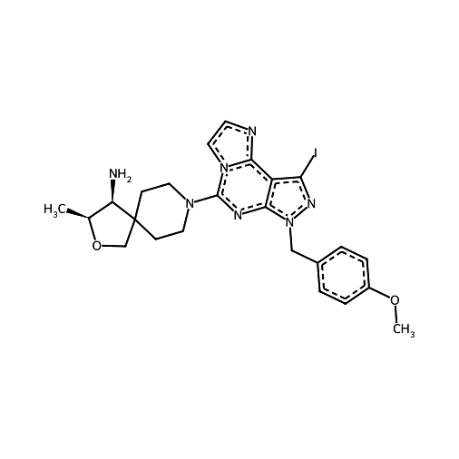 COc1ccc(Cn2nc(I)c3c2nc(N2CCC4(CC2)CO[C@@H](C)[C@H]4N)n2ccnc32)cc1